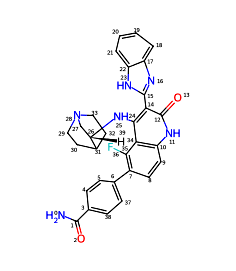 NC(=O)c1ccc(-c2ccc3[nH]c(=O)c(-c4nc5ccccc5[nH]4)c(N[C@H]4CN5CCC4CC5)c3c2F)cc1